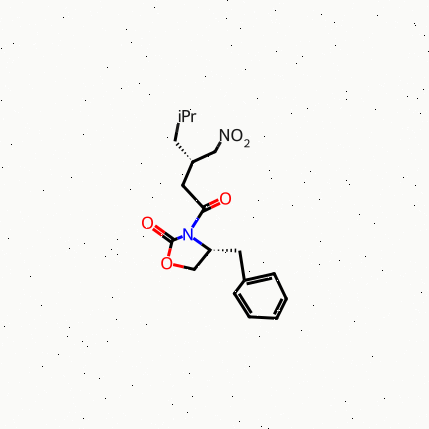 CC(C)C[C@@H](CC(=O)N1C(=O)OC[C@H]1Cc1ccccc1)C[N+](=O)[O-]